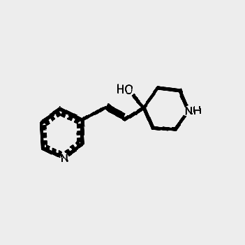 OC1(C=Cc2cccnc2)CCNCC1